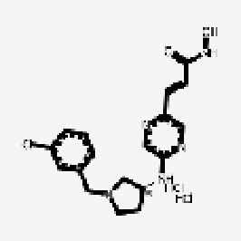 Cl.Cl.O=C(C=Cc1cnc(N[C@@H]2CCN(Cc3cccc(Cl)c3)C2)cn1)NO